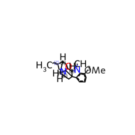 C/C=C1\CN2C3C[C@@H]1[C@@H]1C(=O)C4(C[C@@H]12)c1cccc(OC)c1N(C)[C@@H]34